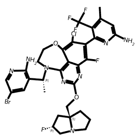 Cc1cc(N)nc(-c2c(Cl)c3c4c(nc(OC[C@@]56CCCN5C[C@H](F)C6)nc4c2F)N([C@H](C)c2cc(Br)cnc2N)CCO3)c1C(F)(F)F